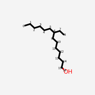 CCCCCCC(CC)CCCCCCCO